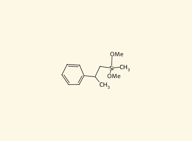 CO[Si](C)(CC(C)c1ccccc1)OC